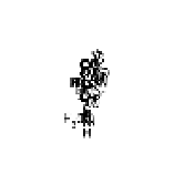 CN1NN=CN1SCC1=C(C(=O)[O-])N2C(=O)C(NC(=O)CC3=C(NC(=O)N4CC=NC4=O)C(=NC4SCCS4)CC=C3)[C@@H]2SC1.[Na+]